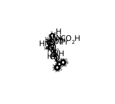 CC(C)[C@H](NC(=O)[C@@H]1CCCN1C(=O)[C@H](C)NC(=O)[C@H](C)NC(=O)C(C)(C)NC(=O)OCC1c2ccccc2-c2ccccc21)C(=O)O